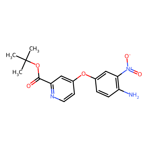 CC(C)(C)OC(=O)c1cc(Oc2ccc(N)c([N+](=O)[O-])c2)ccn1